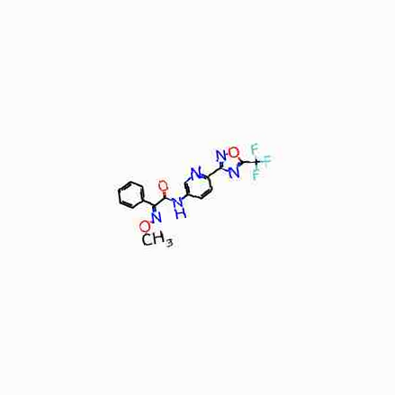 CON=C(C(=O)Nc1ccc(-c2noc(C(F)(F)F)n2)nc1)c1ccccc1